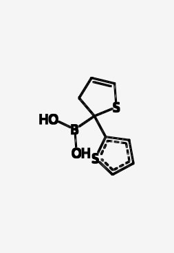 OB(O)C1(c2cccs2)CC=CS1